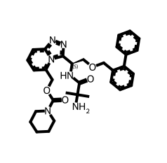 CC(C)(N)C(=O)N[C@H](COCc1ccccc1-c1ccccc1)c1nnc2cccc(COC(=O)N3CCCCC3)n12